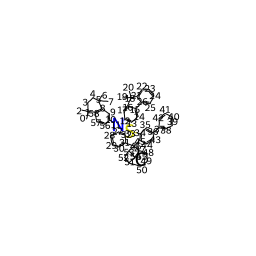 CC1(C)CCC(C)(C)c2cc(N(c3ccc4c(c3)C(C)(C)c3ccccc3-4)c3cccc4c3Sc3cc(-c5ccccc5)ccc3C43C4CC5CC6CC3C64C5)ccc21